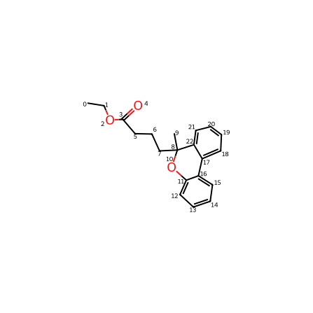 CCOC(=O)CCCC1(C)Oc2ccccc2-c2ccccc21